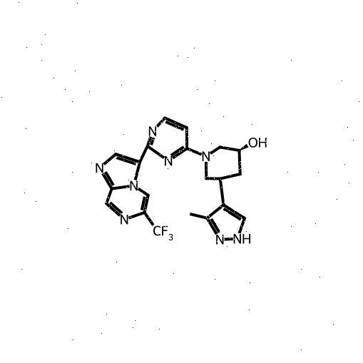 Cc1n[nH]cc1C1C[C@H](O)CN(c2ccnc(-c3cnc4cnc(C(F)(F)F)cn34)n2)C1